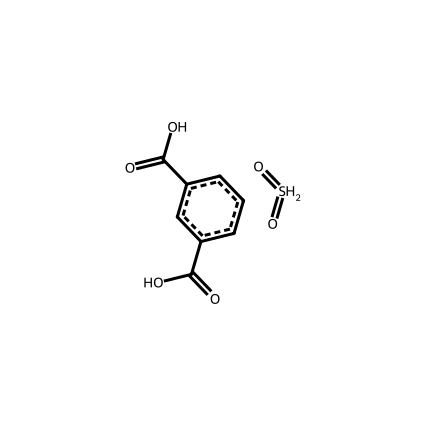 O=C(O)c1cccc(C(=O)O)c1.O=[SH2]=O